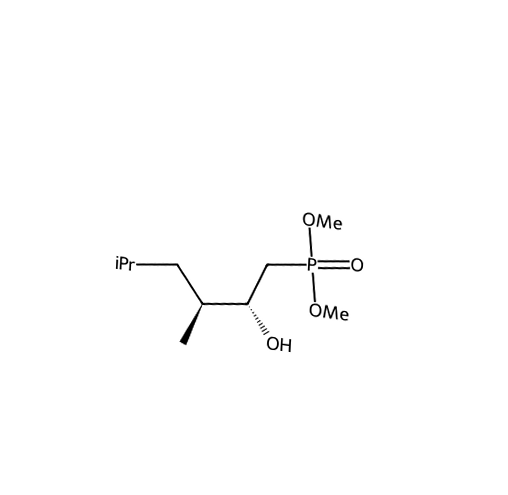 COP(=O)(C[C@H](O)[C@@H](C)CC(C)C)OC